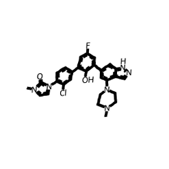 CN1CCN(c2cc(-c3cc(F)cc(-c4ccc(-n5ccn(C)c5=O)c(Cl)c4)c3O)cc3[nH]ncc23)CC1